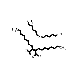 CCCCCCCC/C(C(=O)[O-])=C(\CCCCCCCC)C(=O)[O-].CCCCC[CH2][Sn+2][CH2]CCCCC